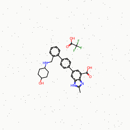 Cc1nc2c(C(=O)O)cc(-c3ccc(-c4ccccc4CNC4CCC(O)CC4)cc3)cc2[nH]1.O=C(O)C(F)(F)F